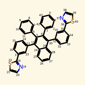 c1ccc(-c2c(-c3ccccc3)c(-c3cccc(-c4nccs4)c3)c3ccccc3c2-c2cccc(-c3nccs3)c2)cc1